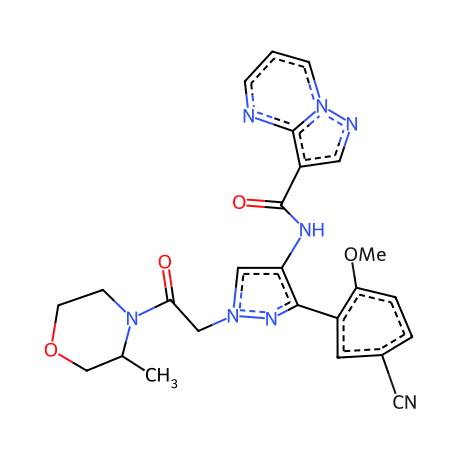 COc1ccc(C#N)cc1-c1nn(CC(=O)N2CCOCC2C)cc1NC(=O)c1cnn2cccnc12